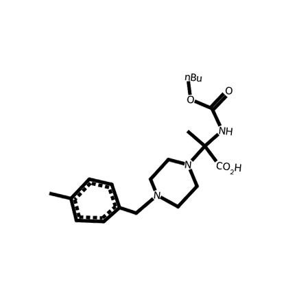 CCCCOC(=O)NC(C)(C(=O)O)N1CCN(Cc2ccc(C)cc2)CC1